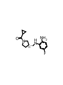 Nc1ccc(F)cc1NC[C@@H]1CCN(C(=O)C2CC2)C1